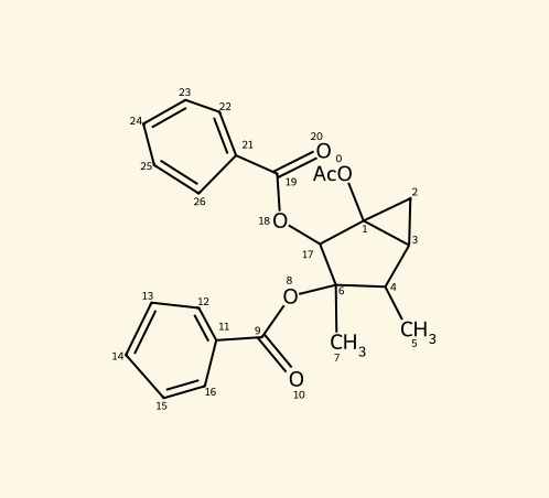 CC(=O)OC12CC1C(C)C(C)(OC(=O)c1ccccc1)C2OC(=O)c1ccccc1